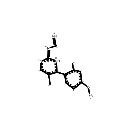 Cc1cc(OC(C)(C)C)ccc1-c1[nH]/c(=N\C=N)ncc1C